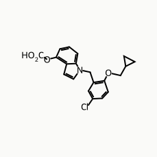 O=C(O)Oc1cccc2c1ccn2Cc1cc(Cl)ccc1OCC1CC1